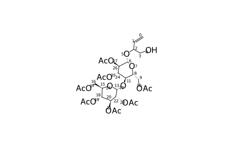 C=CC(CO)O[C@@H]1O[C@H](COC(C)=O)[C@@H](O[C@H]2O[C@H](COC(C)=O)[C@@H](OC(C)=O)[C@H](OC(C)=O)[C@H]2OC(C)=O)[C@H](OC(C)=O)[C@H]1OC(C)=O